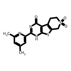 Cc1cc(C)nc(-c2nc(=O)c3c4c(sc3[nH]2)CS(=O)(=O)CC4)c1